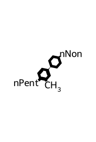 CCCCCCCCC[C@H]1CC[C@H](c2ccc(CCCCC)c(C)c2)CC1